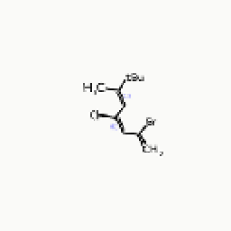 C=C(Br)/C=C(Cl)\C=C(/C)C(C)(C)C